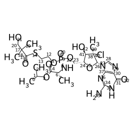 CC(C)OC(=O)[C@@H](C)N[P@](=O)(OCCSC(=O)C(C)(C)CO)OC[C@H]1O[C@@H](n2cnc3c(=O)[nH]c(N)nc32)[C@](C)(Cl)[C@@H]1O